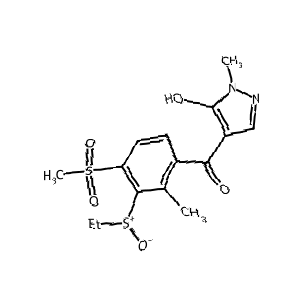 CC[S+]([O-])c1c(S(C)(=O)=O)ccc(C(=O)c2cnn(C)c2O)c1C